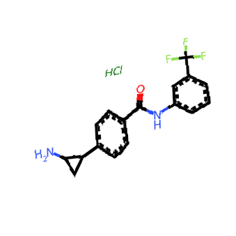 Cl.NC1CC1c1ccc(C(=O)Nc2cccc(C(F)(F)F)c2)cc1